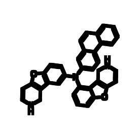 C1=Cc2oc3ccc(N(c4ccc5c(ccc6ccccc65)c4)c4cccc5oc6c(c45)CNC=C6)cc3c2CN1